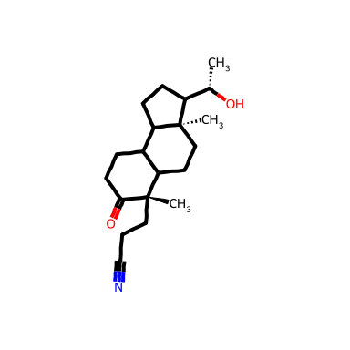 C[C@H](O)C1CCC2C3CCC(=O)[C@@](C)(CCC#N)C3CC[C@@]21C